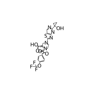 O=C(O)[C@H]1CN(c2nc3nc(C4(O)CC4)ncc3s2)CCN1S(=O)(=O)c1ccc(OC(F)(F)F)cc1